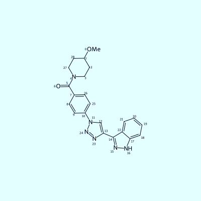 COC1CCN(C(=O)c2ccc(-n3cc(-c4n[nH]c5ccccc45)nn3)cc2)CC1